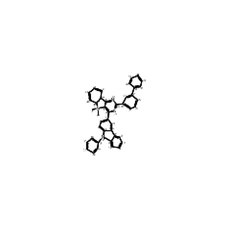 C[Si]1(C)c2c(-c3ccc4c(c3)c3ccccc3n4-c3ccccc3)nc(-c3cccc(-c4ccccc4)c3)nc2C2C=CC=CC21